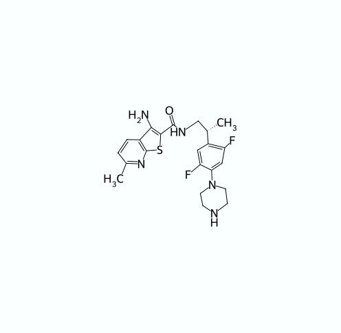 Cc1ccc2c(N)c(C(=O)NC[C@H](C)c3cc(F)c(N4CCNCC4)cc3F)sc2n1